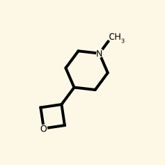 CN1CCC(C2COC2)CC1